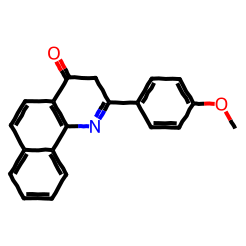 COc1ccc(C2=Nc3c(ccc4ccccc34)C(=O)C2)cc1